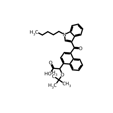 CCCCCn1cc(C(=O)c2ccc(C(OC(C)(C)C)C(=O)O)c3ccccc23)c2ccccc21